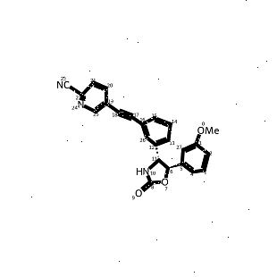 COc1cccc([C@H]2OC(=O)N[C@@H]2c2cccc(C#Cc3ccc(C#N)nc3)c2)c1